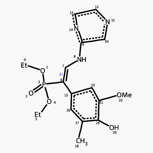 CCOP(=O)(OCC)/C(=C/Nc1cnccn1)c1cc(C)c(O)c(OC)c1